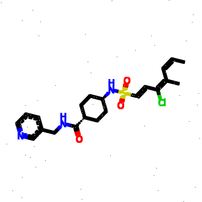 C\C=C/C(C)=C(Cl)\C=C\S(=O)(=O)N[C@H]1CC[C@H](C(=O)NCc2cccnc2)CC1